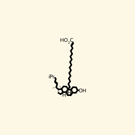 CC(C)CC=C[C@@H](C)[C@H]1CC[C@H]2[C@@H]3CC=C4CC(O)CC[C@]4(C)C3(CCCCCCCCCCCCCCCC=CC(=O)O)CC[C@]12C